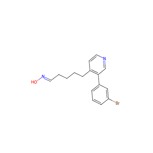 ON=CCCCCc1ccncc1-c1cccc(Br)c1